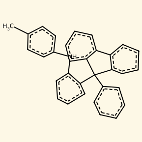 Cc1ccc(Nc2ccccc2C2(c3ccccc3)c3ccccc3-c3ccccc32)cc1